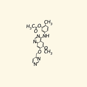 COc1cc2c(Nc3ccc(C)c(OC(C)=O)c3)ncnc2cc1OCc1ccncn1